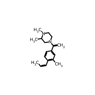 C=C(c1ccc(/C=C\C)c(C)c1)N1CCN(C)C(C)C1